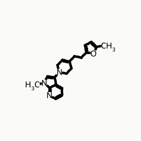 Cc1ccc(CCC2=CCN(c3cn(C)c4ncccc34)CC2)o1